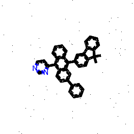 CC1(C)c2ccccc2-c2cc(-c3c4ccccc4c(-c4ccncn4)c4ccc(-c5ccccc5)cc34)ccc21